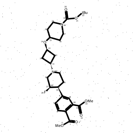 COC(=O)c1ccc([C@@H]2CCN([C@H]3C[C@H](OC4CCN(C(=O)OC(C)(C)C)CC4)C3)C[C@@H]2F)cc1C(=O)OC